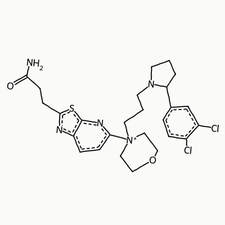 NC(=O)CCc1nc2ccc([N+]3(CCCN4CCCC4c4ccc(Cl)c(Cl)c4)CCOCC3)nc2s1